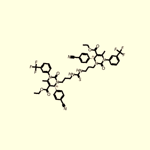 CCOC(=O)C1=C(C)N(c2cccc(C(F)(F)F)c2)C(=O)N(CCCNC(=S)NCCCN2C(=O)N(c3cccc(C(F)(F)F)c3)C(C)=C(C(=O)OCC)[C@H]2c2ccc(C#N)cc2)[C@@H]1c1ccc(C#N)cc1